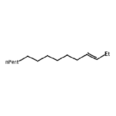 [CH2]C/C=C/CCCCCCCCCCC